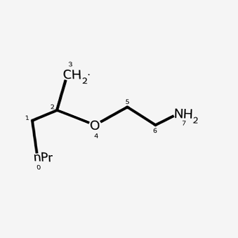 [CH2]CCCC([CH2])OCCN